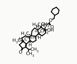 CC(C)C1=C2[C@H]3CC[C@@H]4[C@@]5(C)CC[C@@](O)(NC(=O)OCC6CCCCC6)C(C)(C)[C@@H]5CC[C@@]4(C)[C@]3(C)CC[C@@]2(C)CC1=O